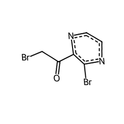 O=C(CBr)c1nccnc1Br